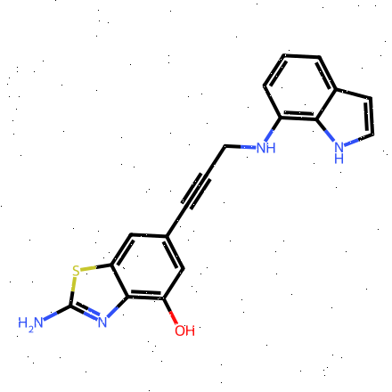 Nc1nc2c(O)cc(C#CCNc3cccc4cc[nH]c34)cc2s1